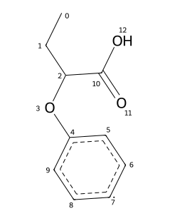 CCC(Oc1cc[c]cc1)C(=O)O